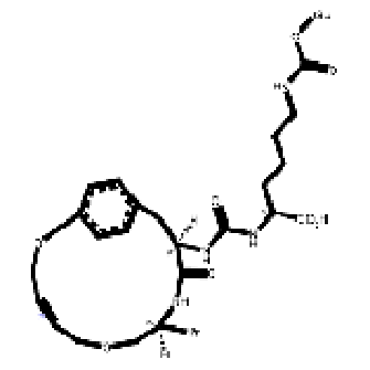 CC(C)[C@H]1COC/C=C\COc2ccc(cc2)C[C@@H](NC(=O)N[C@@H](CCCCNC(=O)OC(C)(C)C)C(=O)O)C(=O)N1